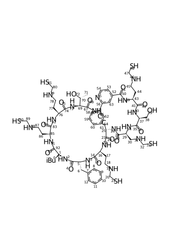 CC[C@H](C)[C@@H]1NC(=O)[C@@H](Cc2ccccc2)NC(=O)[C@H](CCNCS)NC(=O)[C@@H](NC(=O)[C@H](CNCS)NC(=O)[C@H](CO)NC(=O)[C@H](CCNCS)NC(=O)c2ccnc(-c3ccccc3)c2)CCNC(=O)[C@H]([C@@H](C)O)NC(=O)[C@H](CCNCS)NC(=O)[C@H](CCNCS)NC1=O